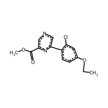 CCOc1ccc(-c2cncc(C(=O)OC)n2)c(Cl)c1